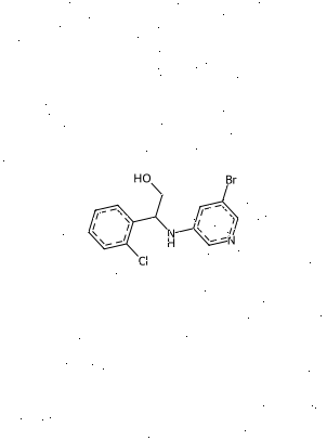 OCC(Nc1cncc(Br)c1)c1ccccc1Cl